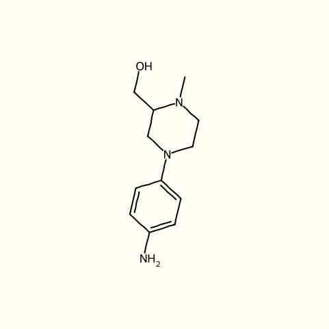 CN1CCN(c2ccc(N)cc2)CC1CO